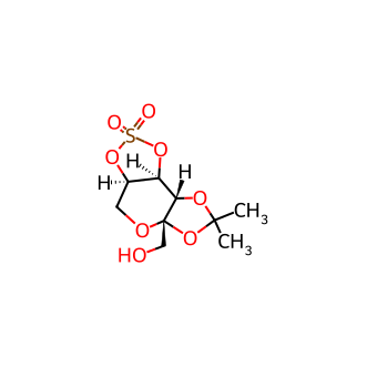 CC1(C)O[C@H]2[C@@H]3OS(=O)(=O)O[C@@H]3CO[C@@]2(CO)O1